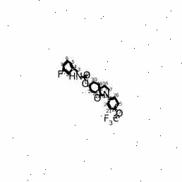 O=C(NCc1cccc(F)c1)O[C@H]1CC[C@]2(CCN(c3ccc(OC(F)(F)F)cc3)C2=O)CC1